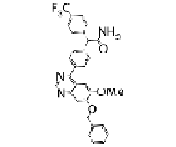 COc1cc2c(-c3ccc(C(C(N)=O)c4ccc(C(F)(F)F)cc4)cc3)ncnc2cc1OCc1ccccc1